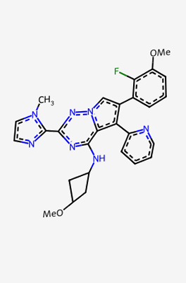 COc1cccc(-c2cn3nc(-c4nccn4C)nc(NC4CC(OC)C4)c3c2-c2ccccn2)c1F